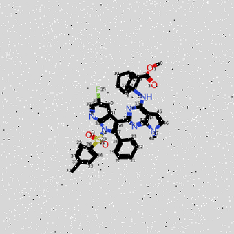 COC(=O)C1C2CCC(CC2)C1Nc1nc(-c2c(-c3ccccc3)n(S(=O)(=O)c3ccc(C)cc3)c3ncc(F)cc23)nc2c1ccn2C